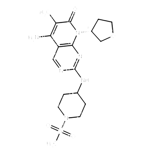 Cc1c(N)c2cnc(NC3CCN(S(C)(=O)=O)CC3)nc2n([C@@H]2CCOC2)c1=O